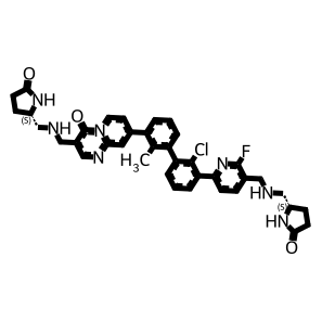 Cc1c(-c2ccn3c(=O)c(CNC[C@@H]4CCC(=O)N4)cnc3c2)cccc1-c1cccc(-c2ccc(CNC[C@@H]3CCC(=O)N3)c(F)n2)c1Cl